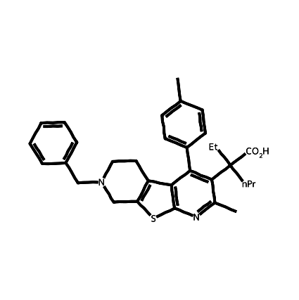 CCCC(CC)(C(=O)O)c1c(C)nc2sc3c(c2c1-c1ccc(C)cc1)CCN(Cc1ccccc1)C3